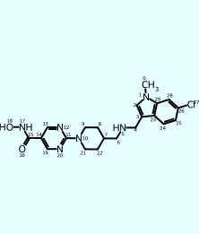 Cn1cc(CNCC2CCN(c3ncc(C(=O)NO)cn3)CC2)c2ccc(Cl)cc21